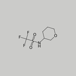 O=S(=O)(NC1CCCOC1)C(F)(F)F